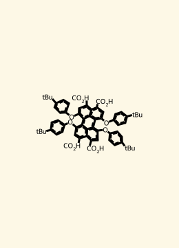 CC(C)(C)c1ccc(Oc2cc(C(=O)O)c3c(C(=O)O)cc(Oc4ccc(C(C)(C)C)cc4)c4c5c(Oc6ccc(C(C)(C)C)cc6)cc(C(=O)O)c6c(C(=O)O)cc(Oc7ccc(C(C)(C)C)cc7)c(c2c34)c65)cc1